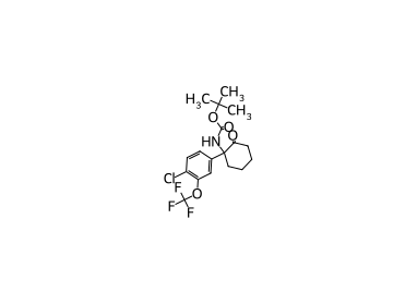 CC(C)(C)OC(=O)NC1(c2ccc(Cl)c(OC(F)(F)F)c2)CCCCC1=O